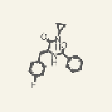 O=C(NC1CC1)C(=Cc1ccc(F)cc1)NC(=O)c1ccccc1